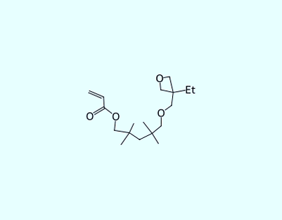 C=CC(=O)OCC(C)(C)CC(C)(C)COCC1(CC)COC1